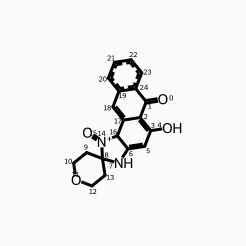 O=C1C2=C(O)C=C3NC4(CCOCC4)[N+](=O)C3C2=Cc2ccccc21